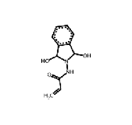 C=CC(=O)NN1C(O)c2ccccc2C1O